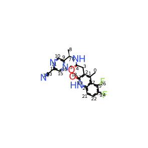 Cc1c(CC(=O)N[C@H](C)c2cnc(C#N)cn2)c(=O)[nH]c2ccc(F)c(F)c12